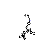 CCCC/C=C/c1ccc(-c2ccc(Cc3nc(-c4ccc(Cl)cc4Cl)cn3-c3cccc(N4CC(=O)NS4(=O)=O)c3)cc2)cc1